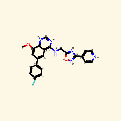 COc1cc(-c2ccc(F)cc2)cc2c(NCc3nc(-c4ccncc4)no3)ncnc12